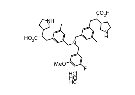 COc1cc(F)cc(CN(Cc2cc(C)cc(C[C@H](C(=O)O)[C@H]3CCNC3)c2)Cc2cc(C)cc(C[C@H](C(=O)O)[C@H]3CCNC3)c2)c1.Cl.Cl.Cl